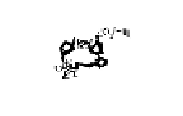 CCn1c(CCCc2cccc(-c3ccc(CC(=O)O)c(O)c3)c2)nn(Cc2ccc(C(C)(C)C)cc2)c1=O